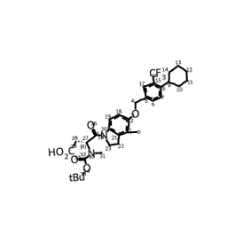 Cc1c(OCc2ccc(C3CCCCC3)c(C(F)(F)F)c2)ccc2c1CCN2C(=O)[C@@H](CC(=O)O)N(C)C(=O)OC(C)(C)C